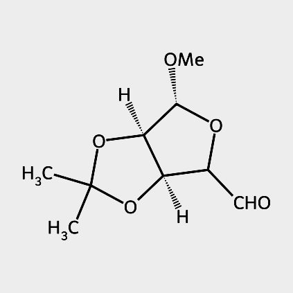 CO[C@@H]1OC(C=O)[C@H]2OC(C)(C)O[C@@H]12